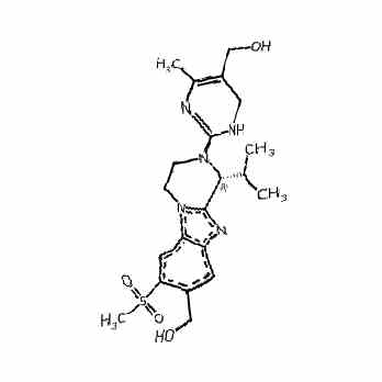 CC1=C(CO)CNC(N2CCn3c(nc4cc(CO)c(S(C)(=O)=O)cc43)[C@H]2C(C)C)=N1